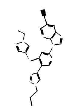 CCCn1cc(-c2cnc(-n3cnc4cc(C#N)cnc43)cc2Nc2cnn(CC)c2)nn1